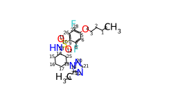 CCCCOc1cc(F)c(S(=O)(=O)N[C@H]2CCC[C@@H](n3ncnc3C)C2)cc1F